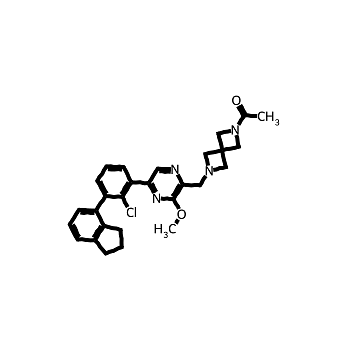 COc1nc(-c2cccc(-c3cccc4c3CCC4)c2Cl)cnc1CN1CC2(C1)CN(C(C)=O)C2